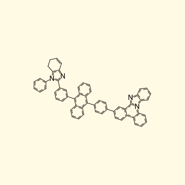 C1=Cc2nc(-c3cccc(-c4c5ccccc5c(-c5ccc(-c6ccc7c8ccccc8n8c9ccccc9nc8c7c6)cc5)c5ccccc45)c3)n(-c3ccccc3)c2CC1